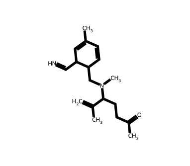 C=C(C)C(CCC(C)=O)N(C)CC1C=CC(C)=CC1C=N